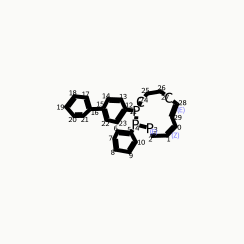 C1=C\C=P\P(c2ccccc2)P(c2ccc(-c3ccccc3)cc2)CCCC/C=C/1